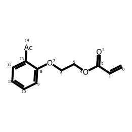 C=CC(=O)OCCOc1ccccc1C(C)=O